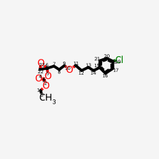 CCOC(=O)OC1(CCCOCCCCc2ccc(Cl)cc2)CO1